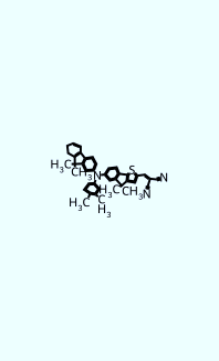 Cc1ccc(N(c2ccc3c(c2)C(C)(C)C2=C3C=CCC2)c2ccc3c(c2)C(C)(C)c2cc(C=C(C#N)C#N)sc2-3)cc1C